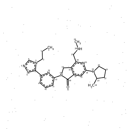 CCCn1cnnc1-c1cccc(N2Cc3c(cc(N4CCCC4C)nc3CNC)C2=O)n1